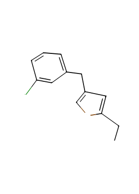 CCc1cc(Cc2cccc(Cl)c2)cs1